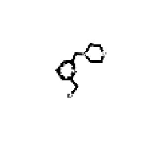 OCc1cccc(CN2CCOCC2)n1